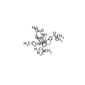 C=C(c1ccc2c(c1)CCc1cc(C(=O)N(C)C)ccc1C2(CCNCC(=O)N1C(C#N)C[C@@H]2CC21)C(=N)NC(=O)Nc1ccc(C)cc1)N(C)C